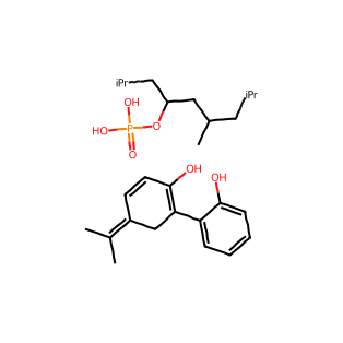 CC(C)=C1C=CC(O)=C(c2ccccc2O)C1.CC(C)CC(C)CC(CC(C)C)OP(=O)(O)O